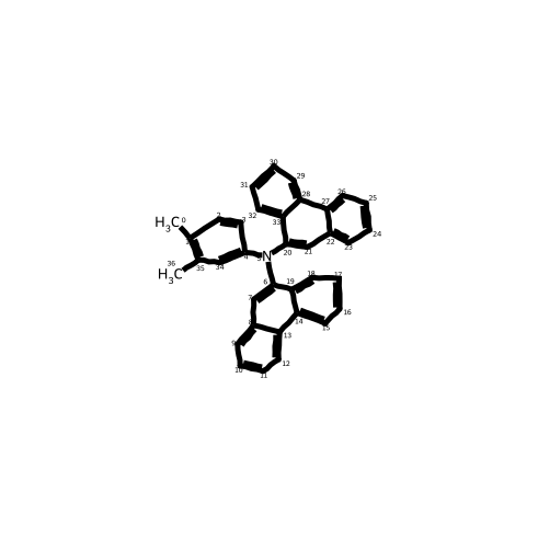 Cc1ccc(N(c2cc3ccccc3c3ccccc23)c2cc3ccccc3c3ccccc23)cc1C